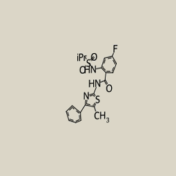 Cc1sc(NC(=O)c2ccc(F)cc2NS(=O)(=O)C(C)C)nc1-c1ccccc1